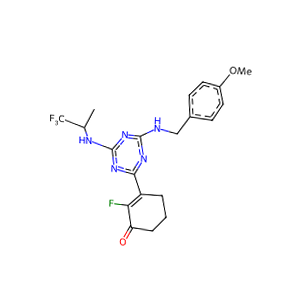 COc1ccc(CNc2nc(NC(C)C(F)(F)F)nc(C3=C(F)C(=O)CCC3)n2)cc1